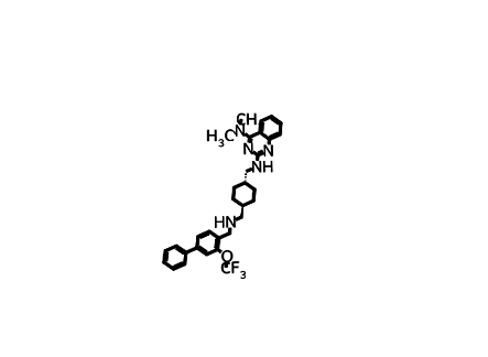 CN(C)c1nc(NC[C@H]2CC[C@H](CNCc3ccc(-c4ccccc4)cc3OC(F)(F)F)CC2)nc2ccccc12